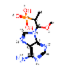 COC(C(C)P(=O)(O)O)n1cnc2c(N)ncnc21